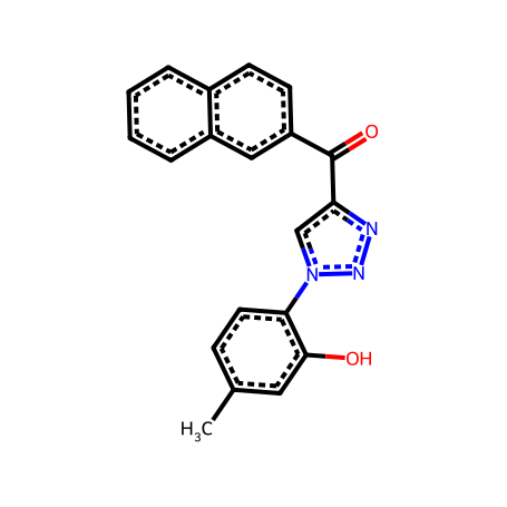 Cc1ccc(-n2cc(C(=O)c3ccc4ccccc4c3)nn2)c(O)c1